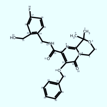 CC1(C)OCCn2c1nc(C(=O)NCc1ccc(F)cc1CO)c(OCc1ccccc1)c2=O